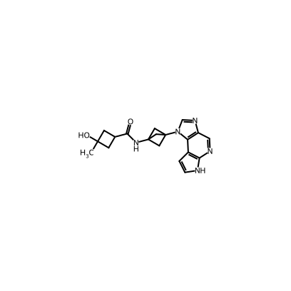 CC1(O)CC(C(=O)NC23CC(n4cnc5cnc6[nH]ccc6c54)(C2)C3)C1